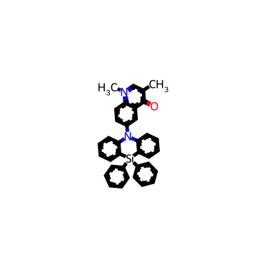 Cc1cn(C)c2ccc(N3c4ccccc4[Si](c4ccccc4)(c4ccccc4)c4ccccc43)cc2c1=O